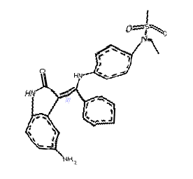 CN(c1ccc(N/C(=C2\C(=O)Nc3ccc(N)cc32)c2ccccc2)cc1)S(C)(=O)=O